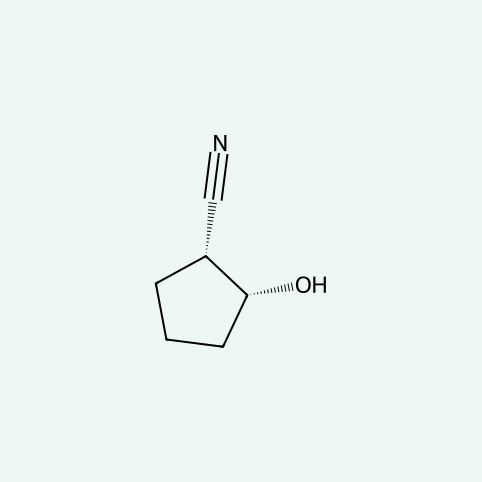 N#C[C@H]1CCC[C@H]1O